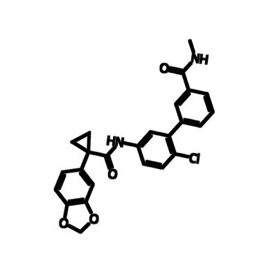 CNC(=O)c1cccc(-c2cc(NC(=O)C3(c4ccc5c(c4)OCO5)CC3)ccc2Cl)c1